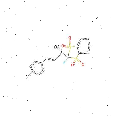 CC(=O)OC(/C=C/c1ccc(C)cc1)C1(F)S(=O)(=O)c2ccccc2S1(=O)=O